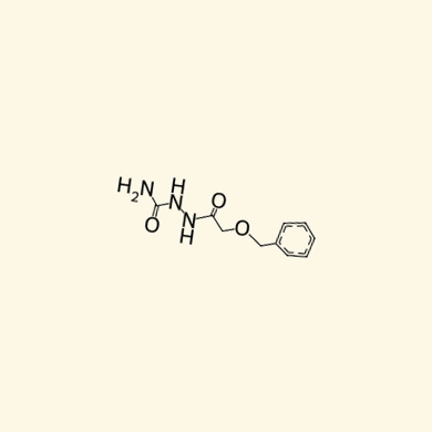 NC(=O)NNC(=O)COCc1ccccc1